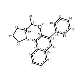 CC(Oc1nc2ccccc2cc1-c1ccccc1)N1CCCC1